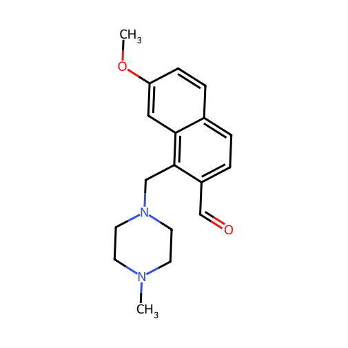 COc1ccc2ccc(C=O)c(CN3CCN(C)CC3)c2c1